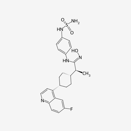 C[C@H](/C(=N/O)Nc1ccc(NS(N)(=O)=O)cc1)[C@H]1CC[C@@H](c2ccnc3ccc(F)cc32)CC1